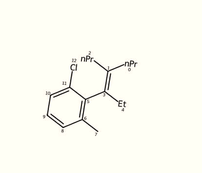 CCCC(CCC)=C(CC)c1c(C)cccc1Cl